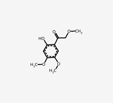 COCC(=O)c1cc(OC)c(OC)cc1O